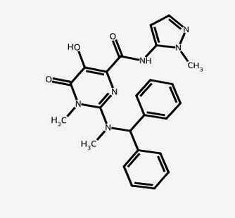 CN(c1nc(C(=O)Nc2ccnn2C)c(O)c(=O)n1C)C(c1ccccc1)c1ccccc1